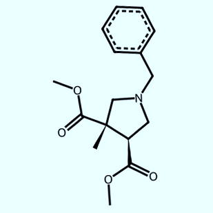 COC(=O)[C@@H]1CN(Cc2ccccc2)C[C@@]1(C)C(=O)OC